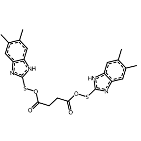 Cc1cc2nc(SOC(=O)CCC(=O)OSc3nc4cc(C)c(C)cc4[nH]3)[nH]c2cc1C